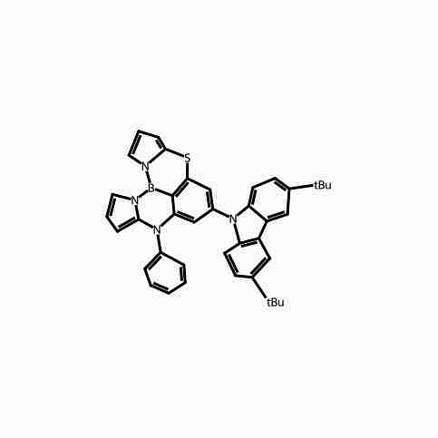 CC(C)(C)c1ccc2c(c1)c1cc(C(C)(C)C)ccc1n2-c1cc2c3c(c1)N(c1ccccc1)c1cccn1B3n1cccc1S2